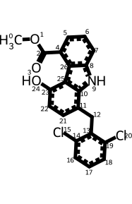 COC(=O)c1cccc2[nH]c3c(Cc4c(Cl)cccc4Cl)ccc(O)c3c12